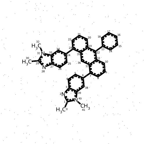 Cc1nc2ccc(-c3cccc4c(-c5ccccc5)c5cccc(-c6ccc7nc(C)n(C)c7c6)c5cc34)cc2n1C